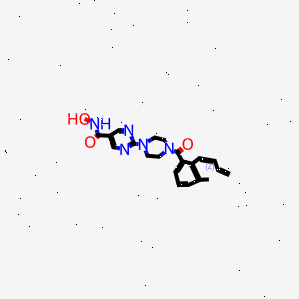 C=C/C=C\c1c(C)cccc1C(=O)N1CCN(c2ncc(C(=O)NO)cn2)CC1